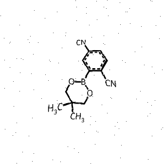 [C-]#[N+]c1ccc(C#N)c(B2OCC(C)(C)CO2)c1